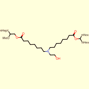 CCCCCCCC(COC(=O)CCCCCCCN(CCO)CCCCCCCC(=O)OC(CCCCCC)CCCCCC)OC